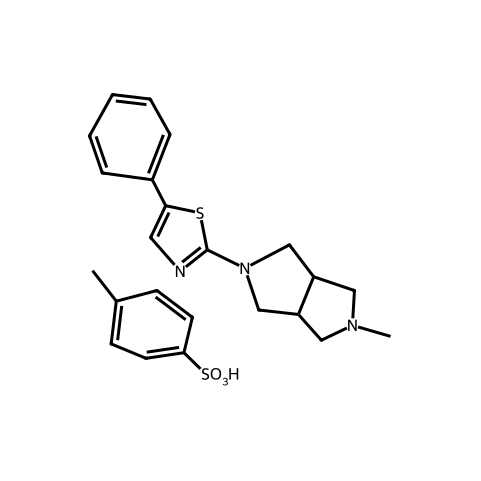 CN1CC2CN(c3ncc(-c4ccccc4)s3)CC2C1.Cc1ccc(S(=O)(=O)O)cc1